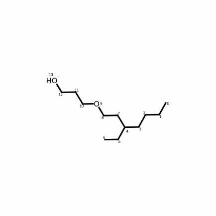 CCCCC(CC)CCOCCCO